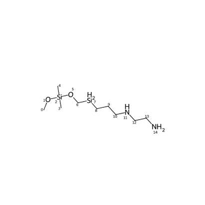 CO[Si](C)(C)OC[SiH2]CCCNCCN